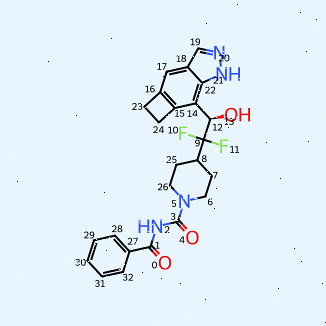 O=C(NC(=O)N1CCC(C(F)(F)[C@H](O)c2c3c(cc4cn[nH]c24)CC3)CC1)c1ccccc1